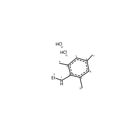 CCNc1c(C)cc(C)cc1C.Cl.Cl